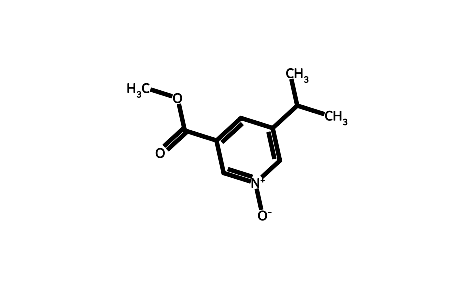 COC(=O)c1cc(C(C)C)c[n+]([O-])c1